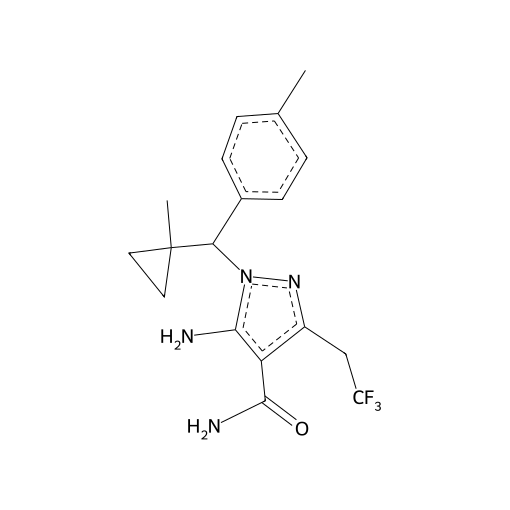 Cc1ccc(C(n2nc(CC(F)(F)F)c(C(N)=O)c2N)C2(C)CC2)cc1